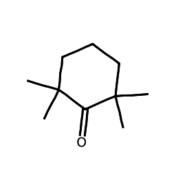 CC1(C)CCCC(C)(C)C1=O